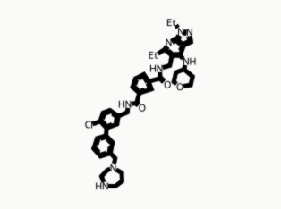 CCc1nc2c(cnn2CC)c(NC2CCOCC2)c1CNC(=O)c1cccc(C(=O)NCc2ccc(Cl)c(-c3cccc(CN4CCCNCC4)c3)c2)c1